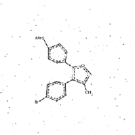 CSc1ccc(-c2onc(C)c2-c2ccc(Br)cc2)cc1